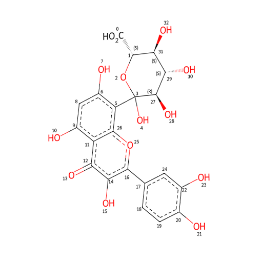 O=C(O)[C@H]1OC(O)(c2c(O)cc(O)c3c(=O)c(O)c(-c4ccc(O)c(O)c4)oc23)[C@H](O)[C@@H](O)[C@@H]1O